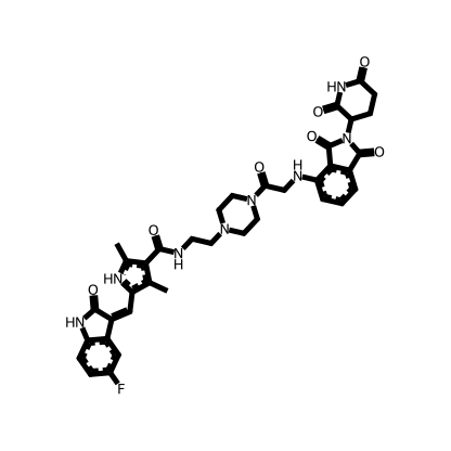 Cc1[nH]c(/C=C2\C(=O)Nc3ccc(F)cc32)c(C)c1C(=O)NCCN1CCN(C(=O)CNc2cccc3c2C(=O)N(C2CCC(=O)NC2=O)C3=O)CC1